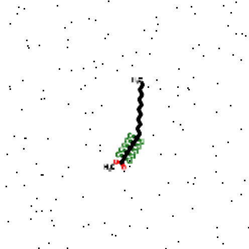 CCCCCCCCCCCCC(Cl)(Cl)C(Cl)(Cl)C(Cl)(Cl)C(Cl)(Cl)C(Cl)(Cl)C(=O)OC